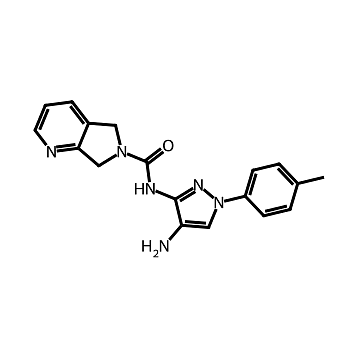 Cc1ccc(-n2cc(N)c(NC(=O)N3Cc4cccnc4C3)n2)cc1